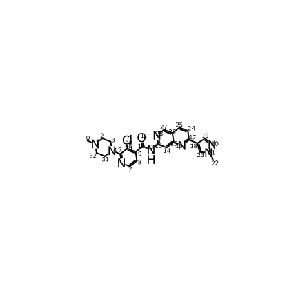 CN1CCN(c2nccc(C(=O)Nc3cc4nc(-c5cnn(C)c5)ccc4cn3)c2Cl)CC1